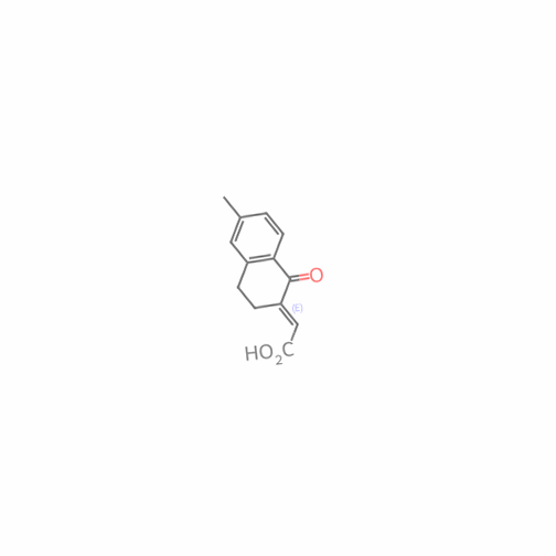 Cc1ccc2c(c1)CC/C(=C\C(=O)O)C2=O